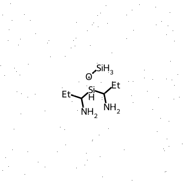 CCC(N)[SiH](O[SiH3])C(N)CC